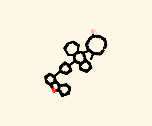 Bc1cccccc(C)c(-c2c3c(c(-c4ccc(-c5cccc6oc7ccccc7c56)cc4)c4ccccc24)CC=CC=C3)cc1